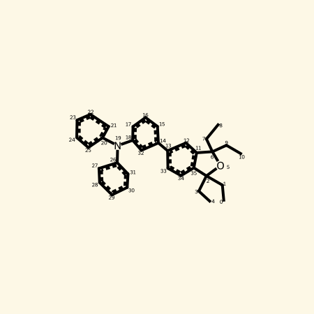 CCC1(CC)OC(CC)(CC)c2cc(-c3cccc(N(c4ccccc4)c4ccccc4)c3)ccc21